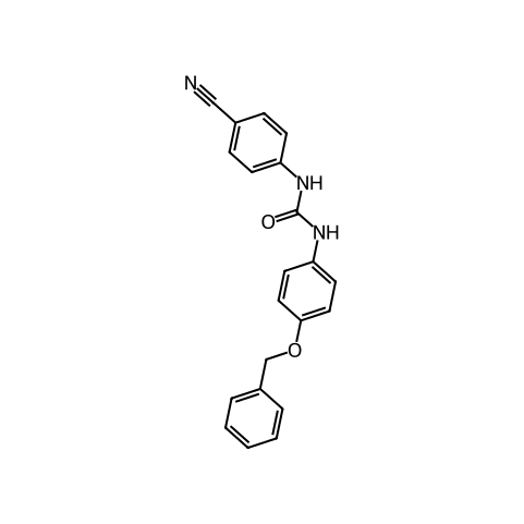 N#Cc1ccc(NC(=O)Nc2ccc(OCc3ccccc3)cc2)cc1